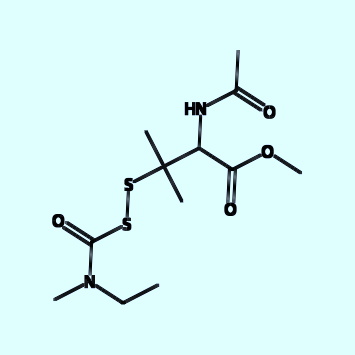 CCN(C)C(=O)SSC(C)(C)C(NC(C)=O)C(=O)OC